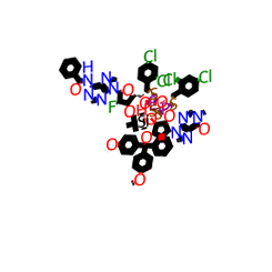 COc1ccc(C(O[C@H]2C[C@@H](n3cnc4c(=O)n(C)cnc43)[C@H](OP(=S)(OP(=S)(OC[C@H]3O[C@@H](n4cnc5c(NC(=O)c6ccccc6)ncnc54)[C@H](F)[C@@H]3O)SCc3ccc(Cl)cc3Cl)SCc3ccc(Cl)cc3Cl)[C@@H]2O[Si](C)(C)C(C)(C)C)(c2ccccc2)c2ccc(OC)cc2)cc1